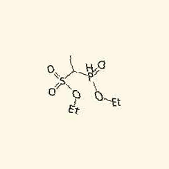 CCO[PH](=O)C(C)S(=O)(=O)OCC